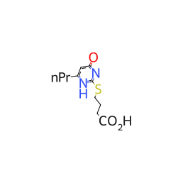 CCCc1cc(=O)nc(SCCCC(=O)O)[nH]1